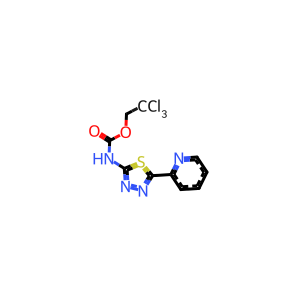 O=C(Nc1nnc(-c2ccccn2)s1)OCC(Cl)(Cl)Cl